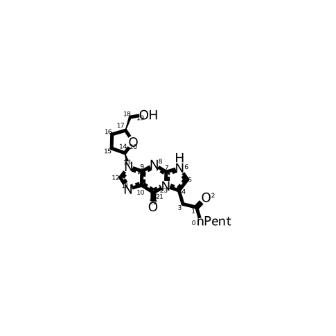 CCCCCC(=O)Cc1c[nH]c2nc3c(ncn3[C@H]3CC[C@@H](CO)O3)c(=O)n12